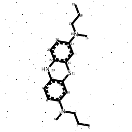 CCCN(C)c1ccc2c(c1)Sc1cc(N(C)CCC)ccc1N2